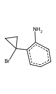 Nc1ccccc1C1(Br)CC1